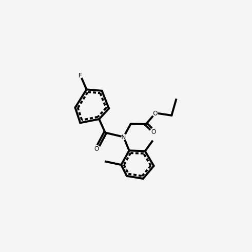 CCOC(=O)CN(C(=O)c1ccc(F)cc1)c1c(C)cccc1C